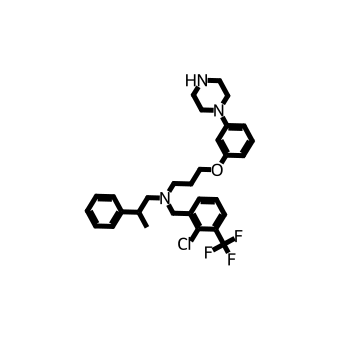 CC(CN(CCCOc1cccc(N2CCNCC2)c1)Cc1cccc(C(F)(F)F)c1Cl)c1ccccc1